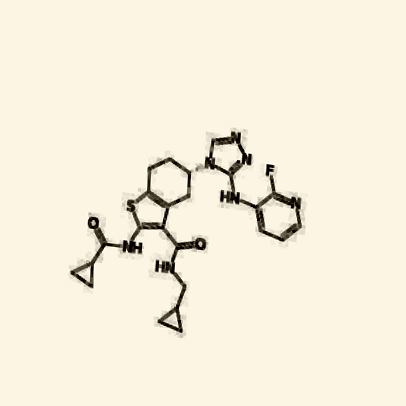 O=C(NCC1CC1)c1c(NC(=O)C2CC2)sc2c1C[C@@H](n1cnnc1Nc1cccnc1F)CC2